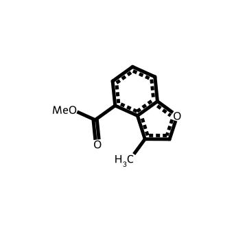 COC(=O)c1cccc2occ(C)c12